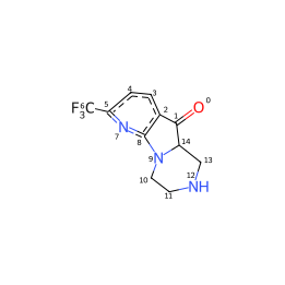 O=C1c2ccc(C(F)(F)F)nc2N2CCNCC12